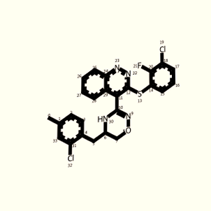 Cc1ccc(CC2CON=C(c3c(Sc4cccc(Cl)c4F)nnc4ccccc34)N2)c(Cl)c1